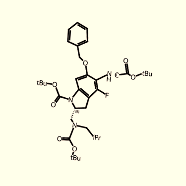 CC(C)CN(C[C@H]1Cc2c(cc(OCc3ccccc3)c(NCC(=O)OC(C)(C)C)c2F)N1C(=O)OC(C)(C)C)C(=O)OC(C)(C)C